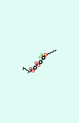 CCCCCCCCOc1ccc(-c2ccc(OC(=O)c3ccc(OC(=O)C[C@@H](C)CCCC(C)C)cc3)cc2)c(F)c1F